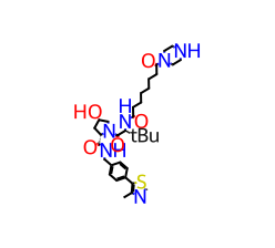 Cc1ncsc1-c1ccc(CNC(=O)[C@@H]2C[C@@H](O)CN2C(=O)[C@@H](NC(=O)CCCCCCC(=O)N2CCNCC2)C(C)(C)C)cc1